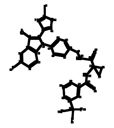 Cc1nc(-c2c(Cl)c3cc(F)ccc3n2-c2ccc(CNC(=O)C3(NC(=O)c4cncc(C(F)(F)F)c4)CC3)cc2)no1